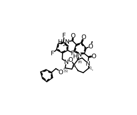 COc1c2n(cc(C(N)=O)c1=O)[C@@H]1CN(C2=O)[C@H](C)CC[C@]12C[C@H](OCc1ccccc1)N(Cc1c(F)cc(F)cc1F)O2